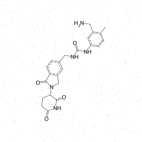 Cc1ccc(NC(=O)NCc2ccc3c(c2)CN(C2CCC(=O)NC2=O)C3=O)cc1CN